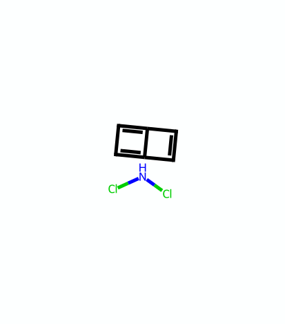 ClNCl.c1cc2ccc1-2